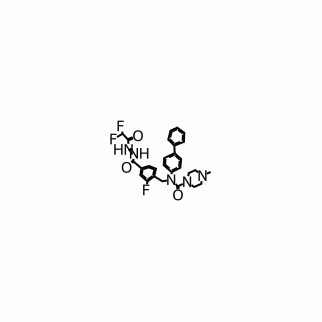 CN1CCN(C(=O)N(Cc2ccc(C(=O)NNC(=O)C(F)F)cc2F)c2ccc(-c3ccccc3)cc2)CC1